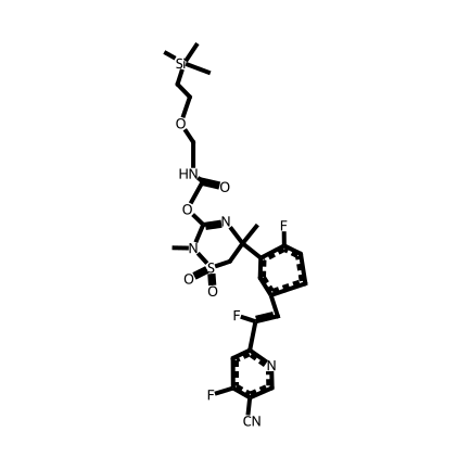 CN1C(OC(=O)NCOCC[Si](C)(C)C)=NC(C)(c2cc(C=C(F)c3cc(F)c(C#N)cn3)ccc2F)CS1(=O)=O